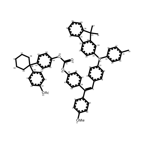 COc1ccc(C(=Cc2ccc(N(c3ccc(C)cc3)c3ccc4c(c3)C(C)(C)c3ccccc3-4)cc2)c2ccc(OC(=O)Oc3ccc(C4(c5ccc(OC(C)=O)cc5)CCCCC4)cc3)cc2)cc1